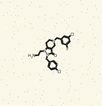 NCCn1c2c(c(=O)n1Cc1ccc(Cl)cc1)CN(Cc1cc(F)cc(Cl)c1)CC2